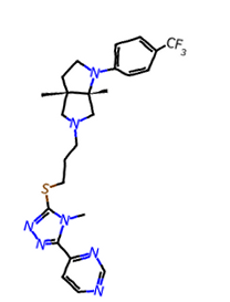 Cn1c(SCCCN2C[C@]3(C)CCN(c4ccc(C(F)(F)F)cc4)[C@]3(C)C2)nnc1-c1ccncn1